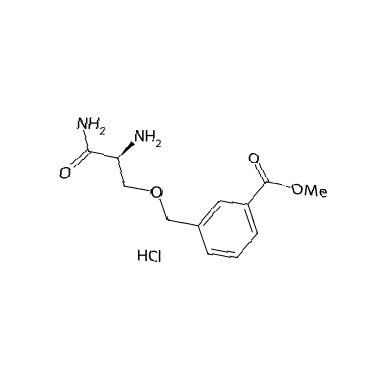 COC(=O)c1cccc(COC[C@H](N)C(N)=O)c1.Cl